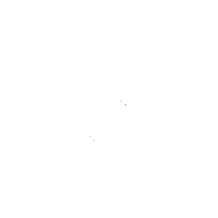 Cc1cccc(C=NCS)n1